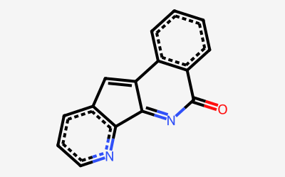 O=C1N=C2C(=Cc3cccnc32)c2ccccc21